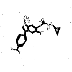 Cn1cc(-c2ccc(C(F)F)cc2)c2cc(F)c(C(=O)NSC3CC3)cc21